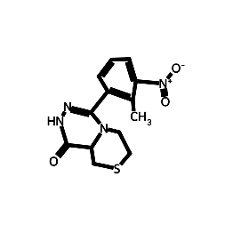 Cc1c(C2=NNC(=O)C3CSCCN23)cccc1[N+](=O)[O-]